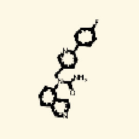 NC(=O)N(Cc1ccc(-c2ccc(F)cc2)nc1)c1cccc2cnccc12